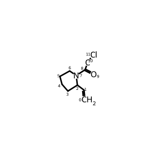 C=CC1CCCCN1C(=O)CCl